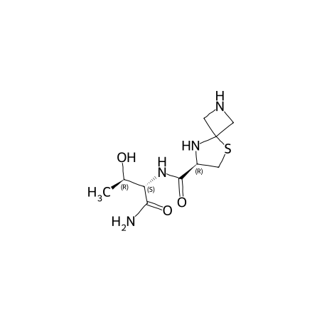 C[C@@H](O)[C@H](NC(=O)[C@@H]1CSC2(CNC2)N1)C(N)=O